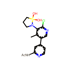 CC(=O)Nc1cc(-c2cnc(Cl)c(N3CCCS3(O)O)c2C)ccn1